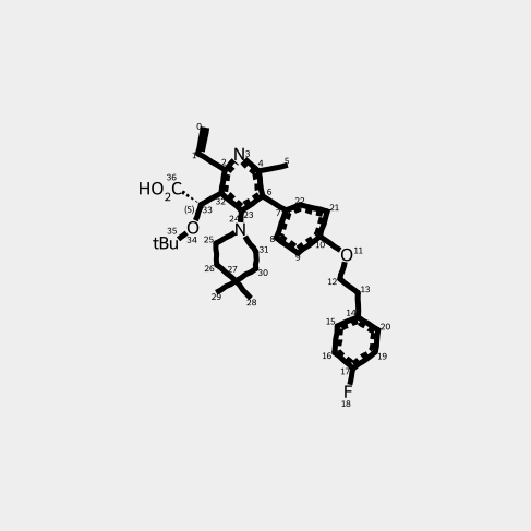 C=Cc1nc(C)c(-c2ccc(OCCc3ccc(F)cc3)cc2)c(N2CCC(C)(C)CC2)c1[C@H](OC(C)(C)C)C(=O)O